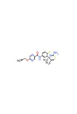 C#CCOc1cnc(C(=O)NC2=CC([C@@]3(C)N=C(N)SC=C3C)C(F)C=C2)cn1